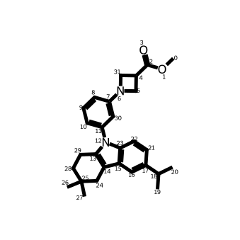 COC(=O)C1CN(c2cccc(-n3c4c(c5cc(C(C)C)ccc53)CC(C)(C)CC4)c2)C1